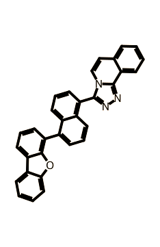 c1ccc2c(c1)ccn1c(-c3cccc4c(-c5cccc6c5oc5ccccc56)cccc34)nnc21